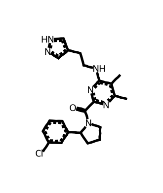 Cc1nc(C(=O)N2CCCC2c2cccc(Cl)c2)nc(NCCc2cn[nH]c2)c1C